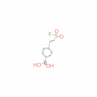 O=S(=O)(F)/C=C/c1ccc(B(O)O)cc1